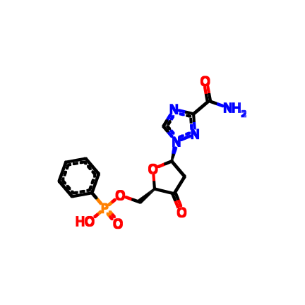 NC(=O)c1ncn([C@H]2CC(=O)[C@@H](COP(=O)(O)c3ccccc3)O2)n1